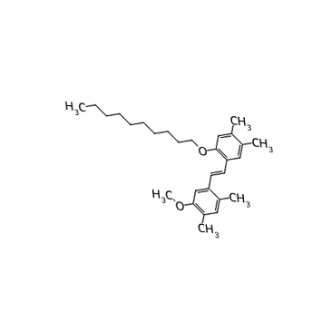 CCCCCCCCCCOc1cc(C)c(C)cc1/C=C/c1cc(OC)c(C)cc1C